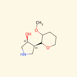 COC1CCCOC1[C@H]1CNC[C@H]1O